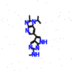 CNc1ncc2c(-c3cnc4nc(C)n(C(C)C)c4c3)c[nH]c2n1